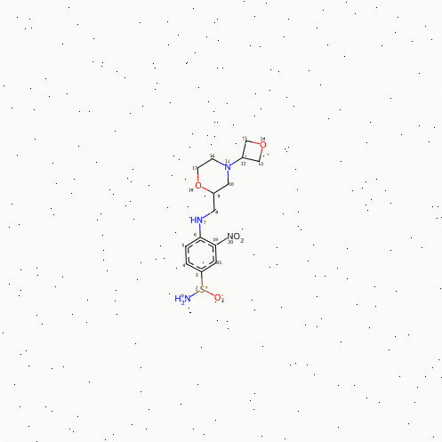 N[S+]([O-])c1ccc(NCC2CN(C3COC3)CCO2)c([N+](=O)[O-])c1